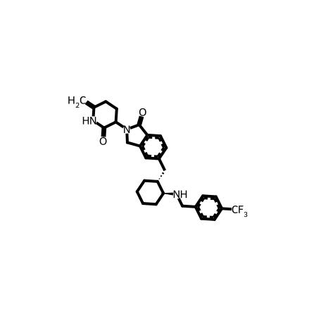 C=C1CCC(N2Cc3cc(C[C@H]4CCCC[C@@H]4NCc4ccc(C(F)(F)F)cc4)ccc3C2=O)C(=O)N1